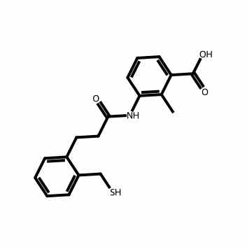 Cc1c(NC(=O)CCc2ccccc2CS)cccc1C(=O)O